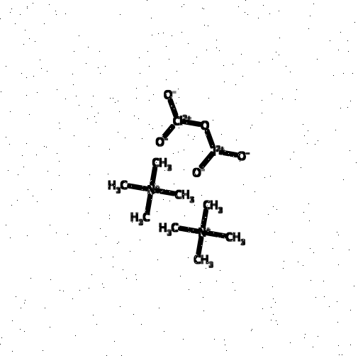 C[N+](C)(C)C.C[N+](C)(C)C.[O-][Cl+2]([O-])O[I+2]([O-])[O-]